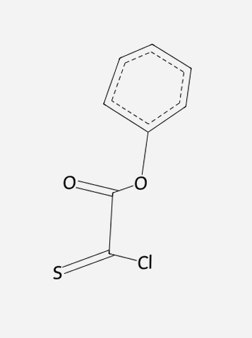 O=C(Oc1ccccc1)C(=S)Cl